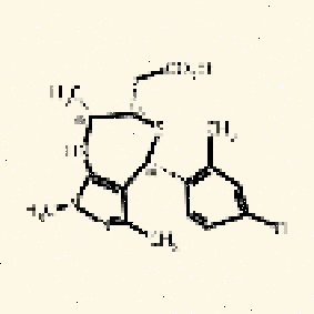 CCOC(=O)C[C@@H]1S[C@H](c2ccc(Cl)cc2C)c2c(C)nn(C)c2N[C@@H]1C